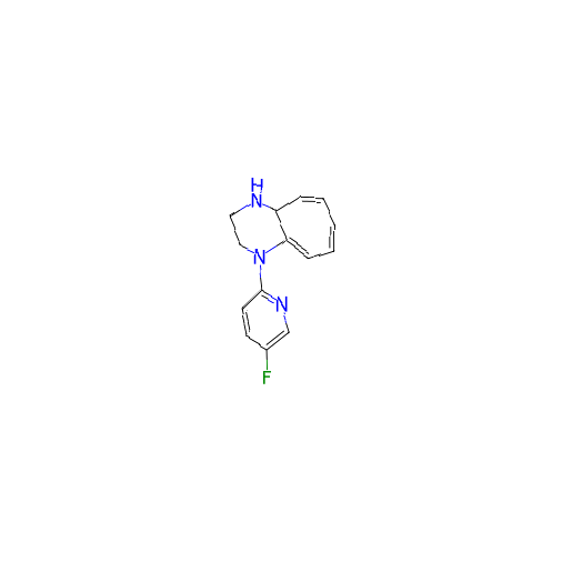 Fc1ccc(N2CCNC3C=CC=CC=C32)nc1